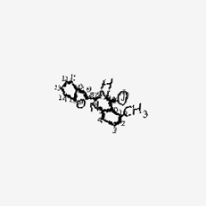 Cc1cccc2nc(-c3cc4ccccc4o3)[nH]c(=O)c12